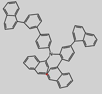 c1cc(-c2ccc(N(c3cc(-c4cccc5ccccc45)ccc3-c3cccc4ccccc34)c3cccc4ccccc34)cc2)cc(-c2cccc3ccccc23)c1